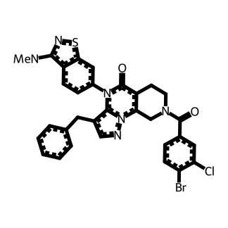 CNc1nsc2cc(-n3c(=O)c4c(n5ncc(Cc6ccccc6)c35)CN(C(=O)c3ccc(Br)c(Cl)c3)CC4)ccc12